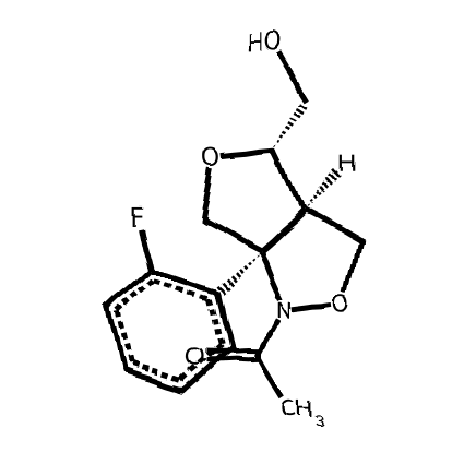 CC(=O)N1OC[C@@H]2[C@@H](CO)OC[C@@]21c1ccccc1F